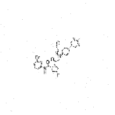 CC(=O)c1nn(CC(=O)N2C[C@H](F)C[C@H]2C(=O)Nc2nc(Br)ccc2C)c2ccc(-c3cnc(C)nc3)cc12